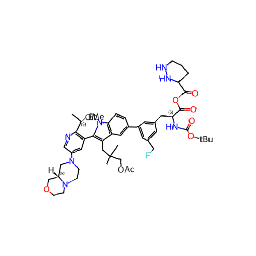 CCn1c(-c2cc(N3CCN4CCOC[C@@H]4C3)cnc2[C@H](C)OC)c(CC(C)(C)COC(C)=O)c2cc(-c3cc(CF)cc(C[C@H](NC(=O)OC(C)(C)C)C(=O)OC(=O)C4CCCNN4)c3)ccc21